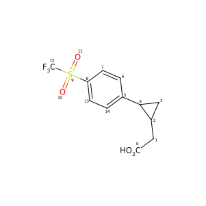 O=C(O)CC1CC1c1ccc(S(=O)(=O)C(F)(F)F)cc1